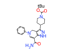 CC(C)(C)OC(=O)N1CCC(c2n[nH]c3c2CN(c2ccccc2)C=C3C(N)=O)CC1